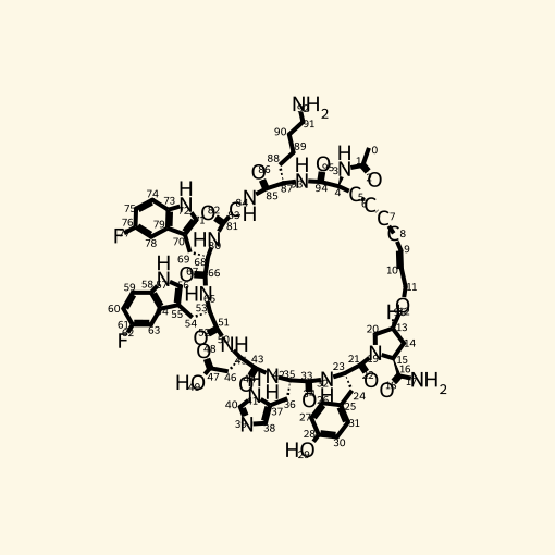 CC(=O)N[C@H]1CCCC/C=C/CO[C@H]2C[C@@H](C(N)=O)N(C2)C(=O)[C@H](Cc2ccc(O)cc2)NC(=O)[C@H](Cc2cnc[nH]2)NC(=O)[C@H](CC(=O)O)NC(=O)[C@H](Cc2c[nH]c3ccc(F)cc23)NC(=O)[C@H](Cc2c[nH]c3ccc(F)cc23)NC(=O)CNC(=O)[C@H](CCCCN)NC1=O